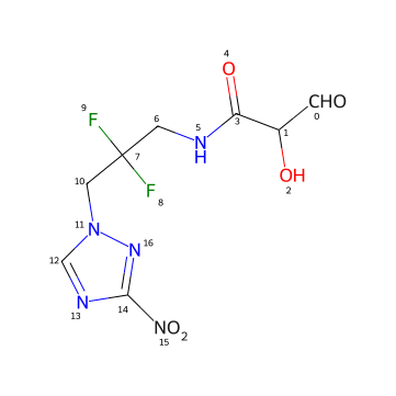 O=CC(O)C(=O)NCC(F)(F)Cn1cnc([N+](=O)[O-])n1